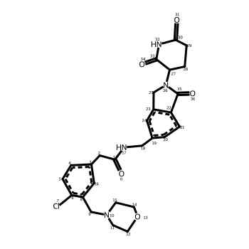 O=C(Cc1ccc(Cl)c(CN2CCOCC2)c1)NCc1ccc2c(c1)CN(C1CCC(=O)NC1=O)C2=O